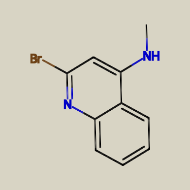 CNc1cc(Br)nc2ccccc12